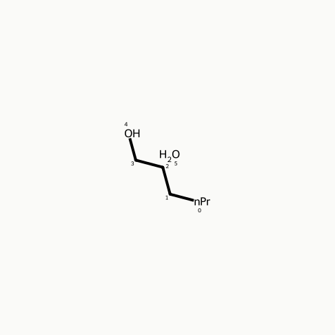 CCCCCCO.O